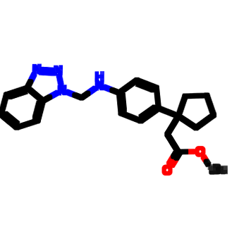 CC(C)(C)OC(=O)CC1(c2ccc(NCn3nnc4ccccc43)cc2)CCCC1